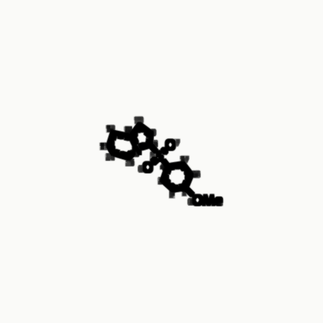 COc1ccc(S(=O)(=O)c2ccc3ccccn23)cc1